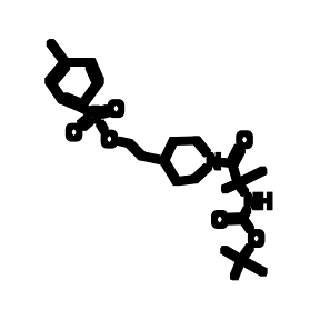 Cc1ccc(S(=O)(=O)OCCC2CCN(C(=O)C(C)(C)NC(=O)OC(C)(C)C)CC2)cc1